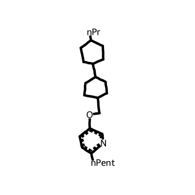 CCCCCc1ccc(OCC2CCC(C3CCC(CCC)CC3)CC2)cn1